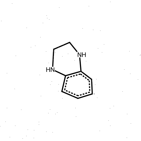 [c]1ccc2c(c1)NCCN2